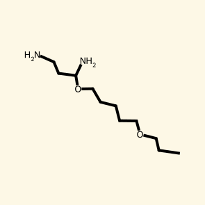 CCCOCCCCCOC(N)CCN